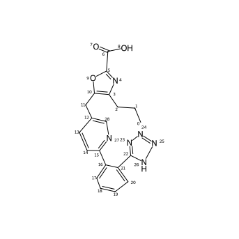 CCCc1nc(C(=O)O)oc1Cc1ccc(-c2ccccc2-c2nnn[nH]2)nc1